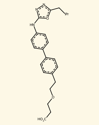 CC(C)Cc1nnc(Nc2ccc(-c3ccc(CCOCCC(=O)O)cc3)cc2)o1